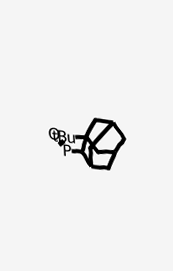 CC(C)(C)C12CC3CC(CC(C3)C1P=O)C2